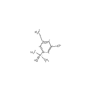 Cc1cc(Cl)cc(P(C)(C)=O)c1